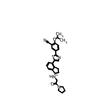 CC(C)Oc1ccc(-c2ncc(-c3cccc4c3CC[C@@H]4NCC(=O)N3CCCC3)s2)cc1C#N